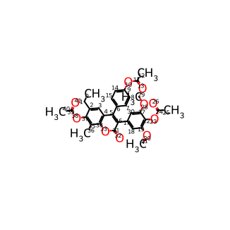 CCc1cc2c(-c3ccc(OC(C)=O)cc3)c(-c3cc(OC)c(OC(C)=O)c(OC)c3)c(=O)oc2c(C)c1OC(C)=O